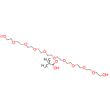 C=C(C)C(=O)O.OCCOCCOCCOCCOCCOCCOCCOCCOCCOCCO